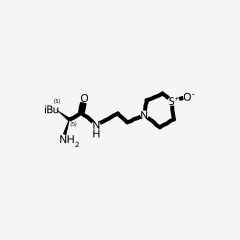 CC[C@H](C)[C@H](N)C(=O)NCCN1CC[S+]([O-])CC1